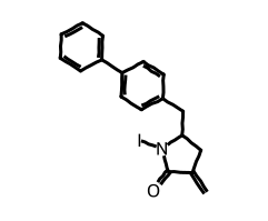 C=C1CC(Cc2ccc(-c3ccccc3)cc2)N(I)C1=O